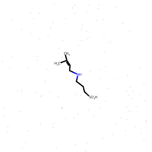 CC(C)=CCNCCCS(=O)(=O)O